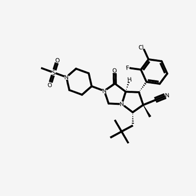 CC(C)(C)C[C@@H]1N2CN(C3CCN(S(C)(=O)=O)CC3)C(=O)[C@H]2[C@H](c2cccc(Cl)c2F)[C@]1(C)C#N